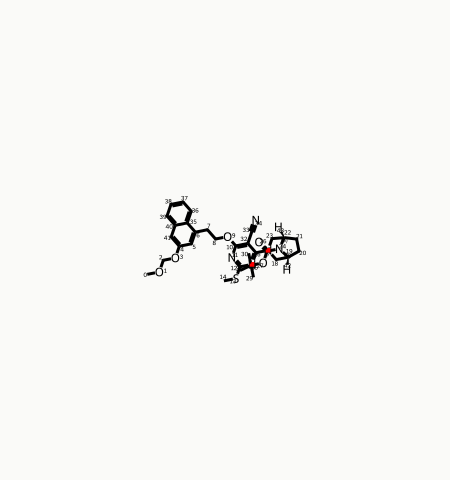 COCOc1cc(CCOc2nc(SC)nc(N3C[C@H]4CC[C@@H](C3)N4C(=O)OC(C)(C)C)c2C#N)c2ccccc2c1